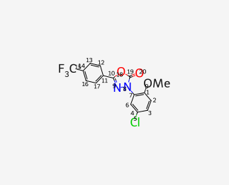 COc1ccc(Cl)cc1-n1nc(-c2ccc(C(F)(F)F)cc2)oc1=O